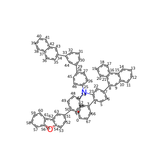 c1ccc(-c2ccc(-c3cc4ccccc4c4ccccc34)cc2N(c2ccc(-c3cccc(-c4ccc5ccccc5c4)c3)cc2)c2ccc(-c3ccc4oc5ccccc5c4c3)cc2)cc1